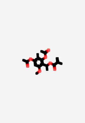 C=C(C)C(=O)OC(C)c1c(OC)cc(OC(C)=O)c(C)c1OC(C)=O